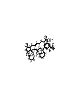 O=C(O)CCCC=CCC1C(=O)CC(OC2CCCCO2)C1OCC(COc1cccc(C(F)(F)F)c1)OC1CCCCO1